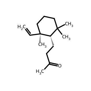 C=C[C@@]1(C)CCCC(C)(C)[C@@H]1CCC(C)=O